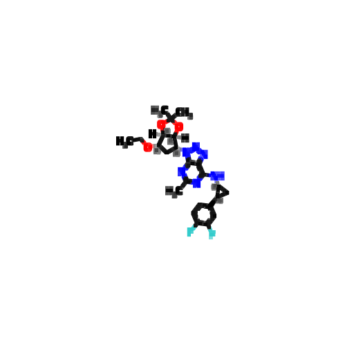 CCO[C@H]1C[C@@H](n2nnc3c(N[C@@H]4C[C@H]4c4ccc(F)c(F)c4)nc(C)nc32)[C@@H]2OC(C)(C)O[C@@H]21